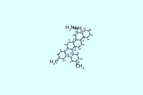 Cc1ccc(-c2ccc3c(ccc4c5ccccc5c(NN)cc34)c2-c2ccc(C)cc2)cc1